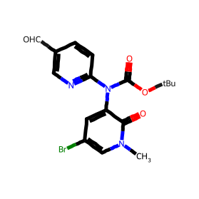 Cn1cc(Br)cc(N(C(=O)OC(C)(C)C)c2ccc(C=O)cn2)c1=O